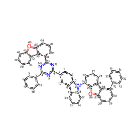 c1ccc(-c2nc(-c3ccc4c(c3)c3ccccc3n4-c3cccc4c3oc3cccc(-c5ccccc5)c34)nc(-c3cccc4oc5ccccc5c34)n2)cc1